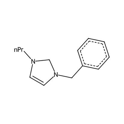 CCCN1C=CN(Cc2ccccc2)C1